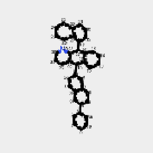 c1ccc(-c2ccc3cc(-c4c5ccccc5c(-c5cccc6ccccc56)c5ncccc45)ccc3c2)cc1